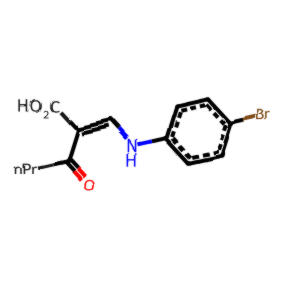 CCCC(=O)/C(=C\Nc1ccc(Br)cc1)C(=O)O